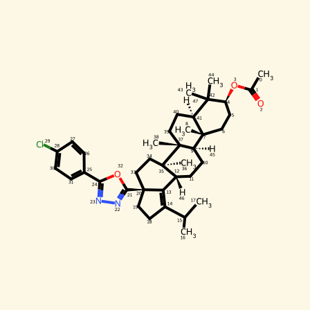 CC(=O)O[C@H]1CC[C@]2(C)[C@H]3CC[C@@H]4C5=C(C(C)C)CC[C@]5(c5nnc(-c6ccc(Cl)cc6)o5)CC[C@@]4(C)[C@]3(C)CC[C@H]2C1(C)C